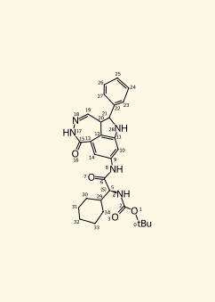 CC(C)(C)OC(=O)N[C@H](C(=O)Nc1cc2c3c(c1)C(=O)NN=CC3C(c1ccccc1)N2)C1CCCCC1